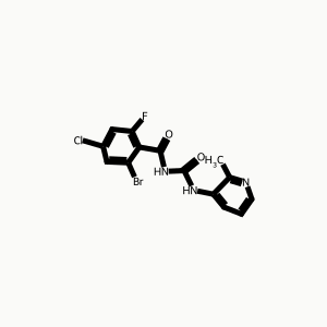 Cc1ncccc1NC(=O)NC(=O)c1c(F)cc(Cl)cc1Br